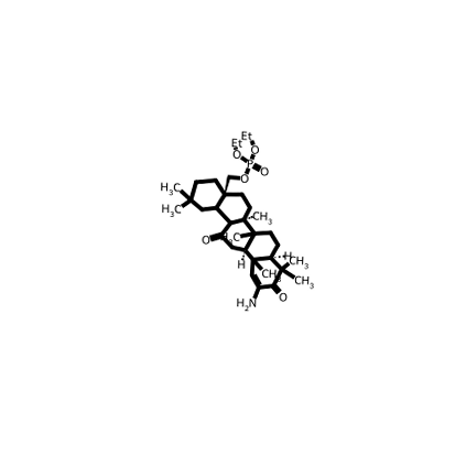 CCOP(=O)(OCC)OC[C@]12CCC(C)(C)CC1C1C(=O)C[C@@H]3C4(C)C=C(N)C(=O)C(C)(C)[C@@H]4CCC3(C)[C@]1(C)CC2